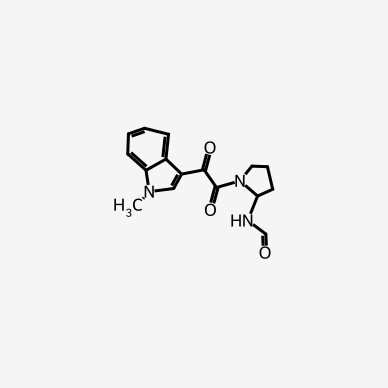 Cn1cc(C(=O)C(=O)N2CCCC2NC=O)c2ccccc21